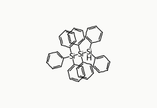 c1ccc([SiH](c2ccccc2)[Si](c2ccccc2)(c2ccccc2)[Si](c2ccccc2)(c2ccccc2)c2ccccc2)cc1